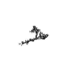 COc1cc2c(cc1OCc1cc(COc3cc4c(cc3OC)C(=O)N3c5ccccc5C[C@H]3C(O)N4)cc(NC(=O)CNC(=O)CNC(=O)CNC(=O)CCCCC(C)=O)c1)NC[C@@H]1Cc3ccccc3N1C2=O